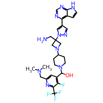 CN(C)Cc1cc(C(O)N2CCC(N3CC(CN)(n4cc(-c5ncnc6[nH]ccc56)cn4)C3)CC2)c(F)c(C(F)(F)F)n1